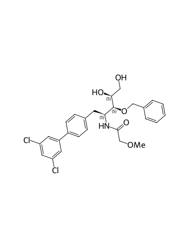 COCC(=O)N[C@@H](Cc1ccc(-c2cc(Cl)cc(Cl)c2)cc1)[C@H](OCc1ccccc1)[C@@H](O)CO